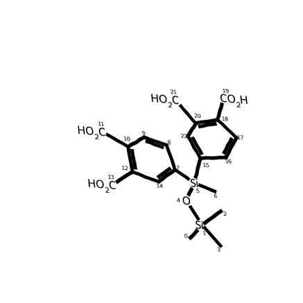 C[Si](C)(C)O[Si](C)(c1ccc(C(=O)O)c(C(=O)O)c1)c1ccc(C(=O)O)c(C(=O)O)c1